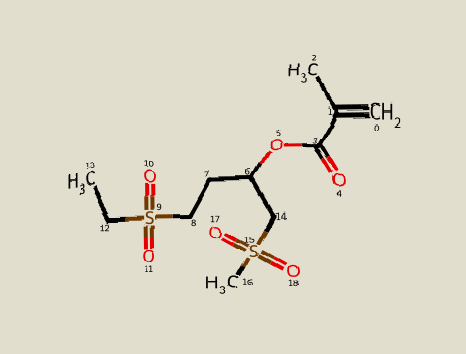 C=C(C)C(=O)OC(CCS(=O)(=O)CC)CS(C)(=O)=O